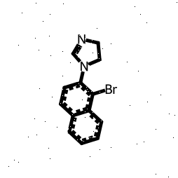 Brc1c(N2C=NCC2)ccc2ccccc12